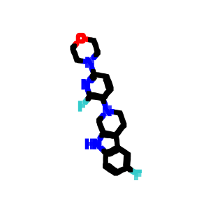 Fc1ccc2[nH]c3c(c2c1)CCN(c1ccc(N2CCOCC2)nc1F)C3